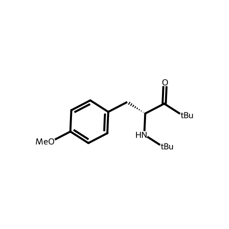 COc1ccc(C[C@@H](NC(C)(C)C)C(=O)C(C)(C)C)cc1